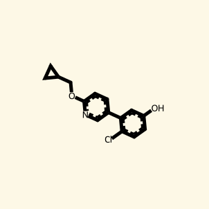 Oc1ccc(Cl)c(-c2ccc(OCC3CC3)nc2)c1